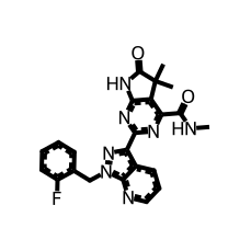 CNC(=O)c1nc(-c2nn(Cc3ccccc3F)c3ncccc23)nc2c1C(C)(C)C(=O)N2